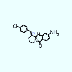 Nc1ccc2c(=O)n3c(nc2c1)/C(=C/c1ccc(Cl)cc1)CCC3